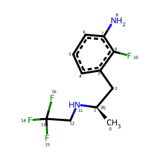 C[C@H](Cc1cccc(N)c1F)NCC(F)(F)F